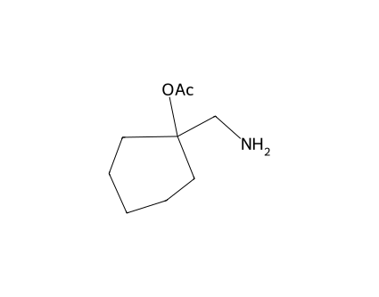 CC(=O)OC1(CN)CCCCC1